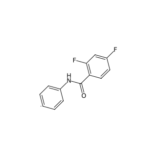 O=C(Nc1cc[c]cc1)c1ccc(F)cc1F